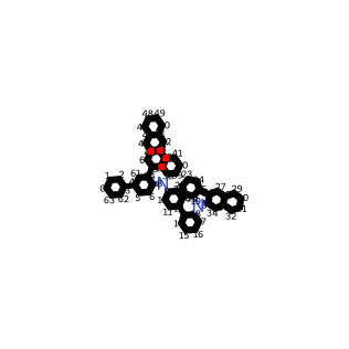 c1ccc(-c2ccc(N(c3ccc(-c4ccccc4-n4c5ccccc5c5cc6ccccc6cc54)cc3)c3cccc(-c4ccc5ccccc5c4)c3)c(-c3ccccc3)c2)cc1